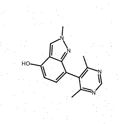 Cc1ncnc(C)c1-c1ccc(O)c2cn(C)nc12